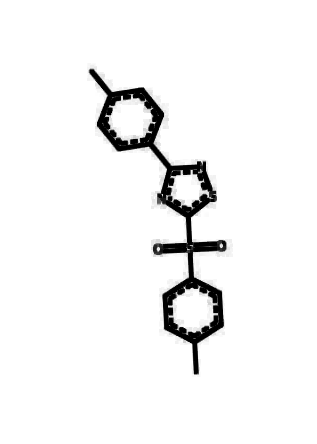 Cc1ccc(-c2nsc(S(=O)(=O)c3ccc(C)cc3)n2)cc1